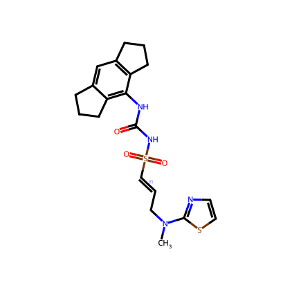 CN(C/C=C/S(=O)(=O)NC(=O)Nc1c2c(cc3c1CCC3)CCC2)c1nccs1